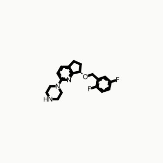 Fc1ccc(F)c(CO[C@H]2CCc3ccc(N4CCNCC4)nc32)c1